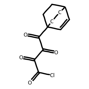 O=C(Cl)C(=O)C(=O)C(=O)C12C=CC(CC1)CC2